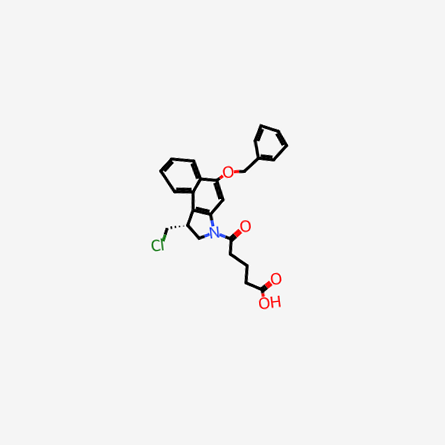 O=C(O)CCCC(=O)N1C[C@H](CCl)c2c1cc(OCc1ccccc1)c1ccccc21